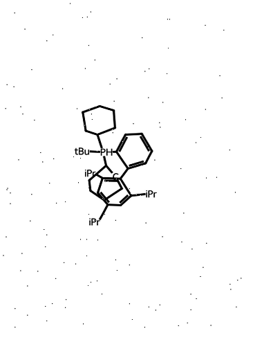 CC(C)c1cc(C(C)C)c(-c2ccccc2[PH](C2CCCCC2)(C2CCCCC2)C(C)(C)C)c(C(C)C)c1